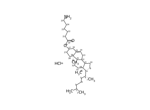 CC(C)CCC[C@@H](C)[C@H]1CCC2C3CC=C4CC(OC(=O)CCCCCN)CC[C@]4(C)C3CC[C@@]21C.Cl